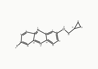 Fc1ccc2nc3cc(OCC4CC4)ccc3nc2c1